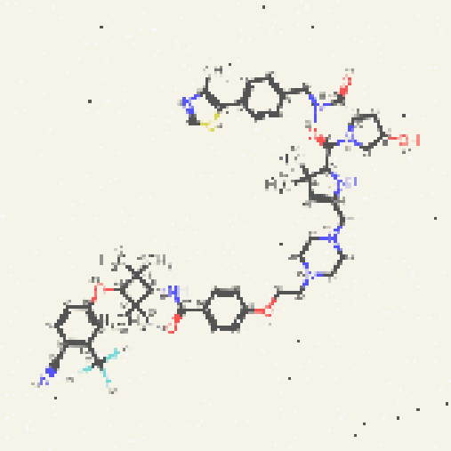 Cc1ncsc1-c1ccc(CNC(=O)[C@@H]2C[C@@H](O)CN2C(=O)[C@H]2NC(CN3CCN(CCOc4ccc(C(=O)N[C@H]5C(C)(C)[C@H](Oc6ccc(C#N)c(C(F)(F)F)c6)C5(C)C)cc4)CC3)=CC2(C)C)cc1